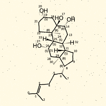 CC(C)=CCCC(C)[C@H]1CC[C@H]2[C@@H]3C[C@@H](O)[C@@]4(O)C[C@@H](O)CC[C@]4(C)[C@H]3[C@@H](O)C[C@]12C